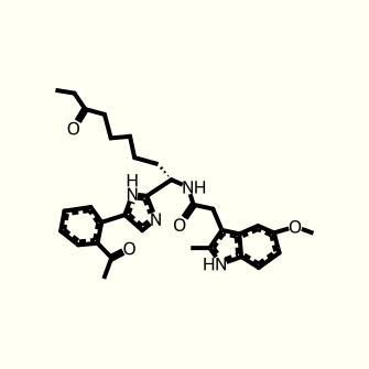 CCC(=O)CCCCC[C@H](NC(=O)Cc1c(C)[nH]c2ccc(OC)cc12)c1ncc(-c2ccccc2C(C)=O)[nH]1